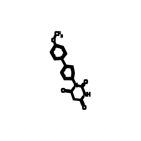 O=C1CC(=O)N(c2ccc(-c3ccc(OC(F)(F)F)cc3)cc2)C(=O)N1